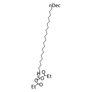 CCCCCCCCCCCCCCCCCCCCCCCCCCCCCCCC[SH](OC(=O)CC)OC(=O)CC